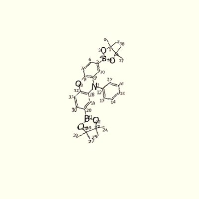 CC1(C)OB(c2ccc3c(c2)N(c2ccccc2)c2cc(B4OC(C)(C)C(C)(C)O4)ccc2O3)OC1(C)C